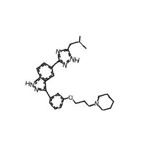 CC(C)Cc1nc(-c2ccc3[nH]nc(-c4cccc(OCCCN5CCCCC5)c4)c3c2)n[nH]1